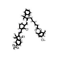 CC[N+]1=C(/C=C/C2=C(Cl)C(C=C=C3N(CCCCCC(=O)Oc4c(C)cccc4C)c4ccccc4C3(C)C)CCC2)C(C)(C)c2cc(S(C)(=O)=O)ccc21.[Cl-]